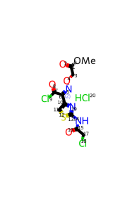 COC(=O)CO/N=C(\C(=O)Cl)c1csc(NC(=O)CCl)n1.Cl